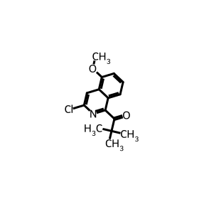 COc1cccc2c(C(=O)C(C)(C)C)nc(Cl)cc12